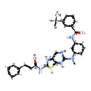 CN(c1cccc(NC(=O)c2cccc(C(C)(C)C#N)c2)c1)c1ncc2nc(NC(=O)/C=C/c3ccccc3)sc2n1